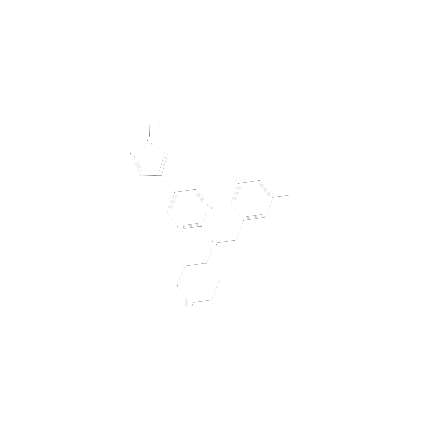 CC[C@@H]1CC(N(Cc2cc(C(F)(F)F)cc(C(F)(F)F)c2)c2ncc(-c3cnn(C)c3)cn2)C[C@H](CC)N1